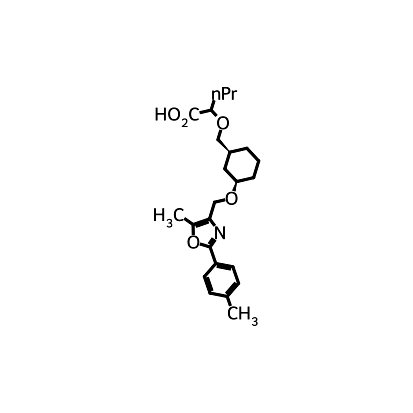 CCCC(OC[C@H]1CCC[C@@H](OCc2nc(-c3ccc(C)cc3)oc2C)C1)C(=O)O